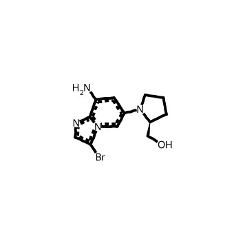 Nc1cc(N2CCC[C@H]2CO)cn2c(Br)cnc12